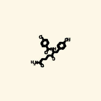 NC(=O)CCCC(=O)C(Cc1ccc(O)cc1)NC(=O)c1ccc(Cl)cc1